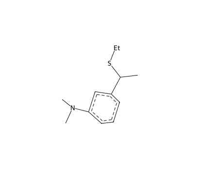 [CH2]CSC(C)c1cccc(N(C)C)c1